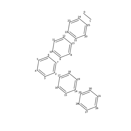 CC.c1ccccc1.c1ccccc1.c1ccccc1.c1ccccc1.c1ccccc1